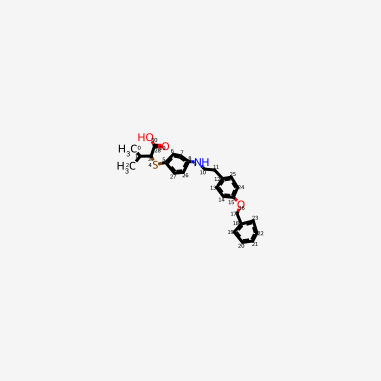 CC(C)C(Sc1ccc(NCCc2ccc(OCc3ccccc3)cc2)cc1)C(=O)O